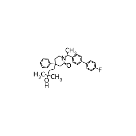 C[C@@H](c1ccc(-c2ccc(F)cc2)cc1)N1CCC(CCC(C)(C)O)(c2ccccc2)CC1=O